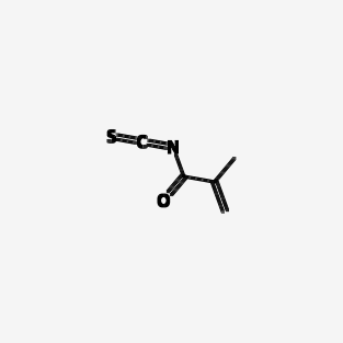 C=C(C)C(=O)N=C=S